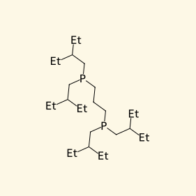 CCC(CC)CP(CCCP(CC(CC)CC)CC(CC)CC)CC(CC)CC